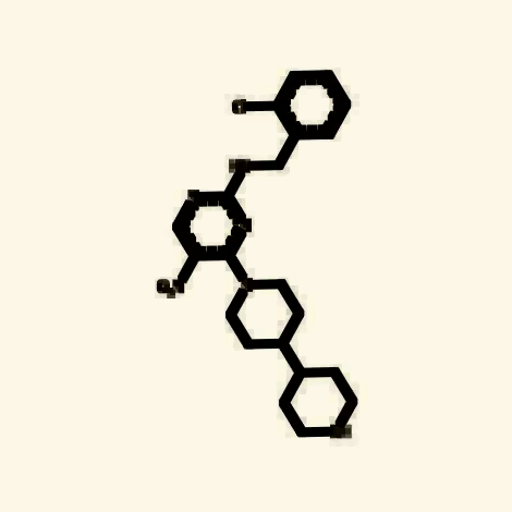 O=[N+]([O-])c1cnc(NCc2ccccc2Cl)nc1N1CCC(C2CCNCC2)CC1